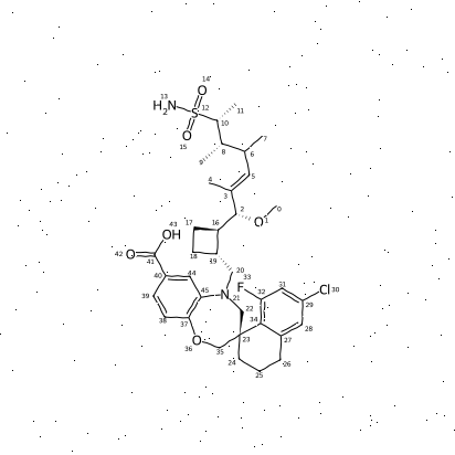 CO[C@@H](/C(C)=C/C(C)[C@H](C)[C@@H](C)S(N)(=O)=O)[C@@H]1CC[C@H]1CN1C[C@@]2(CCCc3cc(Cl)cc(F)c32)COc2ccc(C(=O)O)cc21